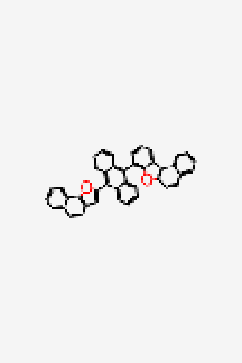 c1ccc2c(c1)ccc1cc(-c3c4ccccc4c(-c4cccc5c4oc4ccc6ccccc6c45)c4ccccc34)oc12